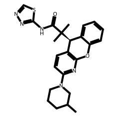 CC1CCCN(c2ccc3c(n2)Oc2ccccc2[C@@H]3C(C)(C)C(=O)Nc2nncs2)C1